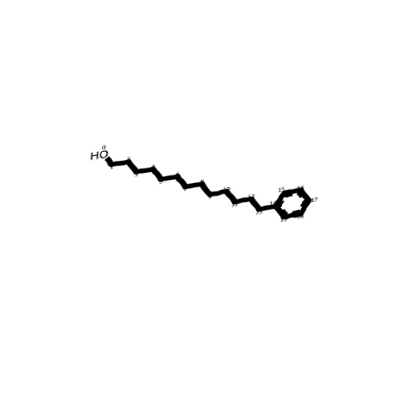 O[CH]CCCCCCCCCCCCc1ccccc1